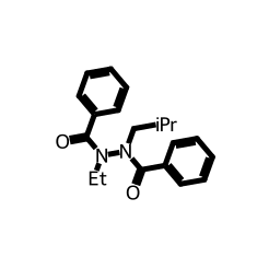 CCN(C(=O)c1ccccc1)N(CC(C)C)C(=O)c1ccccc1